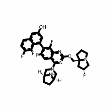 Oc1cc(-c2c(F)cc3c(N4C[C@H]5CC[C@@H](C4)N5)nc(OC[C@@]45CCCN4C[C@H](F)C5)nc3c2F)c2c(F)c(F)ccc2c1